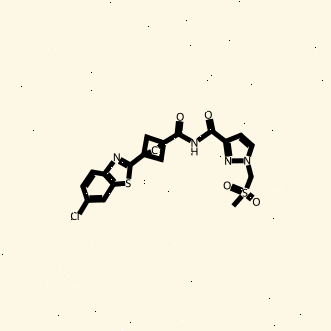 CS(=O)(=O)Cn1ccc(C(=O)NC(=O)C23CC(c4nc5ccc(Cl)cc5s4)(C2)C3)n1